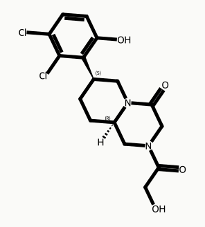 O=C(CO)N1CC(=O)N2C[C@H](c3c(O)ccc(Cl)c3Cl)CC[C@@H]2C1